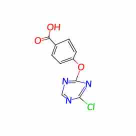 O=C(O)c1ccc(Oc2ncnc(Cl)n2)cc1